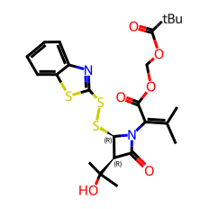 CC(C)=C(C(=O)OCOC(=O)C(C)(C)C)N1C(=O)[C@@H](C(C)(C)O)[C@H]1SSc1nc2ccccc2s1